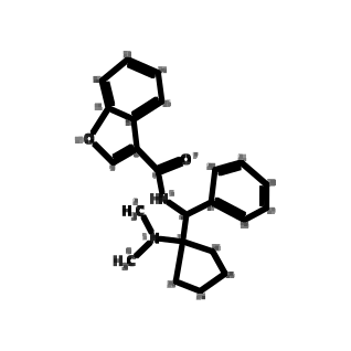 CN(C)C1(C(NC(=O)c2coc3ccccc23)c2ccccc2)CCCC1